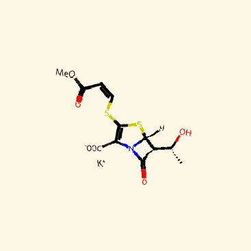 COC(=O)/C=C\SC1=C(C(=O)[O-])N2C(=O)[C@H]([C@@H](C)O)[C@H]2S1.[K+]